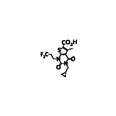 Cc1c(C(=O)O)sc2c1c(=O)n(CC1CC1)c(=O)n2CCC(F)(F)F